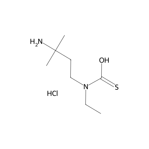 CCN(CCC(C)(C)N)C(O)=S.Cl